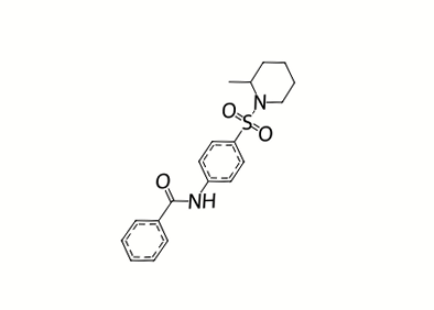 CC1CCCCN1S(=O)(=O)c1ccc(NC(=O)c2ccccc2)cc1